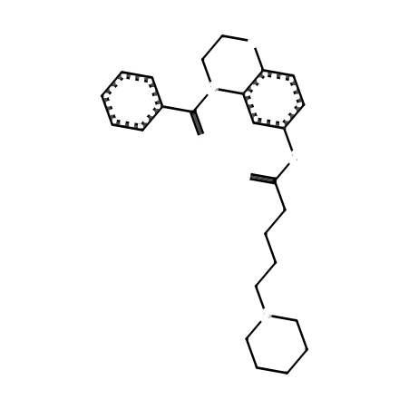 O=C(CCCCN1CCCCC1)Nc1ccc2c(c1)N(C(=O)c1ccccc1)CCS2